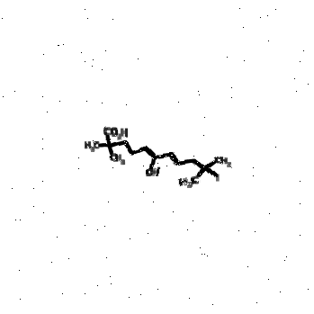 CC(C)(I)CCCC(O)CCCC(C)(C)C(=O)O